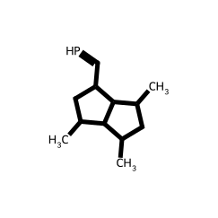 CC1CC(C)C2C(C=P)CC(C)C12